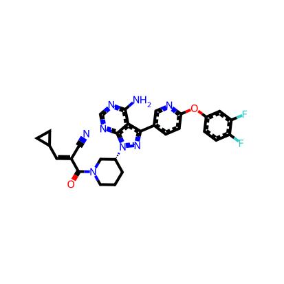 N#CC(=CC1CC1)C(=O)N1CCC[C@@H](n2nc(-c3ccc(Oc4ccc(F)c(F)c4)nc3)c3c(N)ncnc32)C1